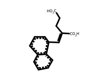 O=C(O)CC/C(=C\c1cccc2ccccc12)C(=O)O